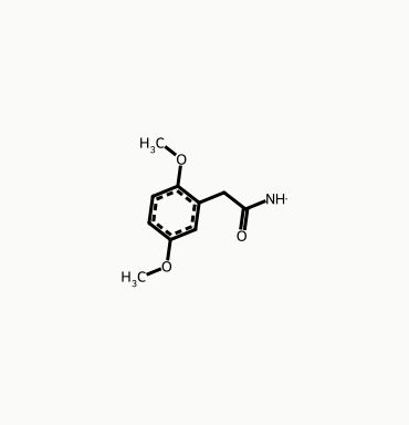 COc1ccc(OC)c(CC([NH])=O)c1